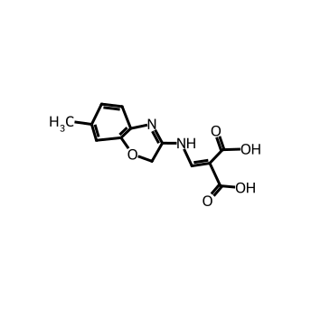 Cc1ccc2c(c1)OCC(NC=C(C(=O)O)C(=O)O)=N2